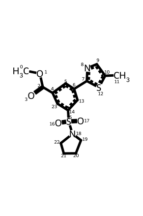 COC(=O)c1cc(-c2ncc(C)s2)cc(S(=O)(=O)N2CCCC2)c1